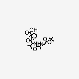 CC(NCC(=O)OC(C)(C)C)C(=O)NC(C(=O)N1CCCC1(C)C(=O)O)C(C)C